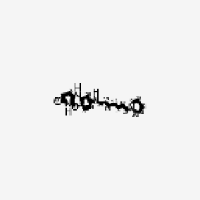 O=C1CCC(Nc2cccc(NCCCCCCCN3CCCCC3)c2)C(=O)N1